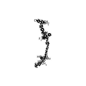 Cc1ncsc1-c1ccc([C@H](C)NC(=O)[C@@H]2C[C@@H](O)CN2C(=O)[C@@H](NC(=O)COCCOCCOCCN2CCN(CC[C@H](CSc3ccccc3)Nc3ccc(S(=O)(=O)NC(=O)c4ccc(N5CCN(CC6=C(c7ccc(Cl)cc7)CCC(C)(C)C6)CC5)cc4)cc3S(=O)(=O)C(F)(F)F)CC2)C(C)(C)C)cc1